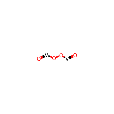 [O]=[V][O][O][V]=[O]